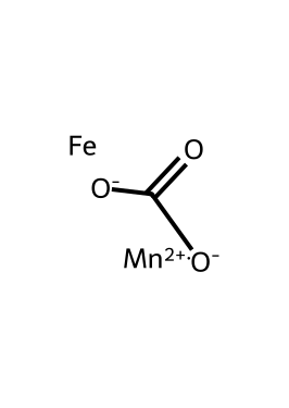 O=C([O-])[O-].[Fe].[Mn+2]